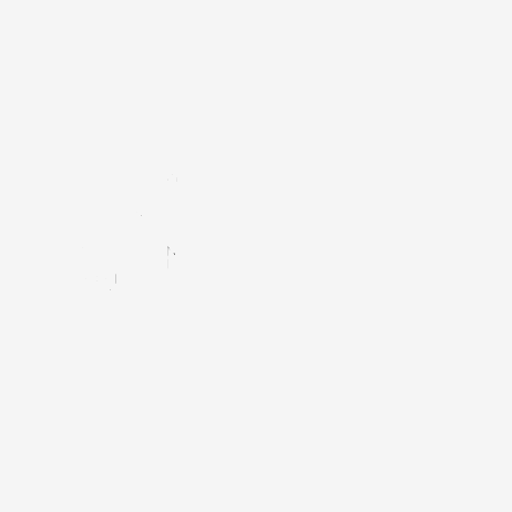 O=C(O)C1=C(C(=O)Nc2ccc(OCc3ccccc3)cc2)CCC1